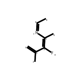 C=C(C)/C(F)=C(C)\N=C/C